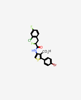 O=C(O)c1c(NC(=O)C(F)Cc2ccc(F)cc2Cl)csc1-c1ccc(Br)cc1